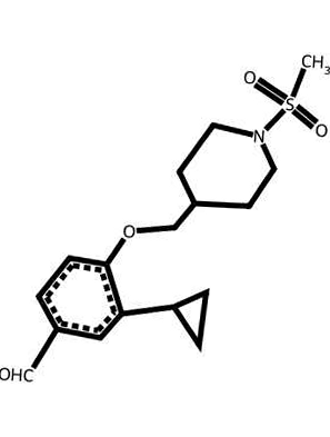 CS(=O)(=O)N1CCC(COc2ccc(C=O)cc2C2CC2)CC1